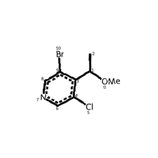 COC(C)c1c(Cl)cncc1Br